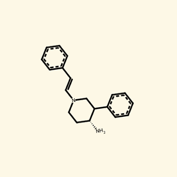 N[C@@H]1CCN(C=Cc2ccccc2)CC1c1ccccc1